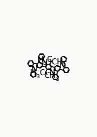 CC(C)c1c2c3cc4c(c5ccccc5n4-c4ccccc4)c4c5ccccc5n(c2c(C(C)C)c2c5cc6c(c7ccccc7n6-c6ccccc6)c6c7ccccc7n(c12)c56)c34